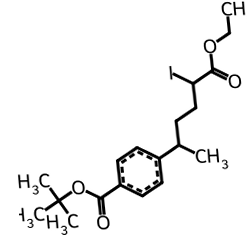 CCOC(=O)C(I)CCC(C)c1ccc(C(=O)OC(C)(C)C)cc1